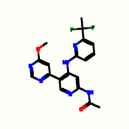 COc1cc(-c2cnc(NC(C)=O)cc2Nc2cccc(C(C)(F)F)n2)ncn1